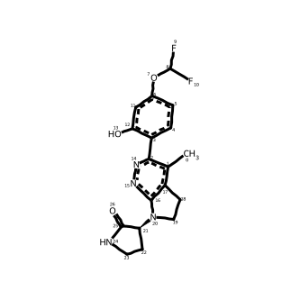 Cc1c(-c2ccc(OC(F)F)cc2O)nnc2c1CCN2[C@H]1CCNC1=O